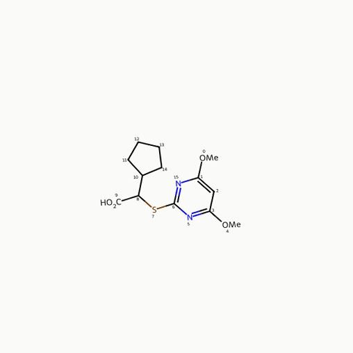 COc1cc(OC)nc(SC(C(=O)O)C2CCCC2)n1